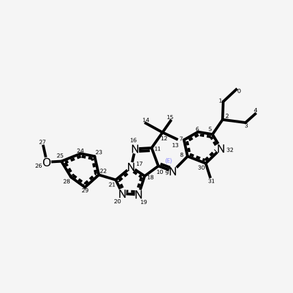 CCC(CC)c1ccc(/N=C2\C(C(C)(C)C)=Nn3c2nnc3-c2ccc(OC)cc2)c(C)n1